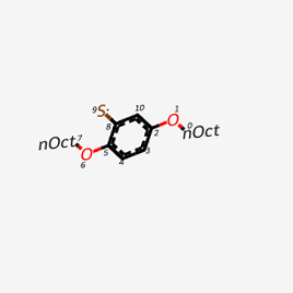 CCCCCCCCOc1ccc(OCCCCCCCC)c([S])c1